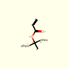 C=CC(=O)OC(C)(CCCCC)CCCCCC